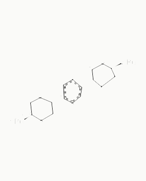 CCCC[C@H]1CC[C@H](c2ccc([C@H]3CC[C@H](CCCC)CC3)cc2)CC1